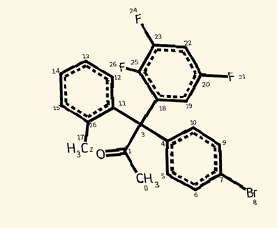 CC(=O)C(c1ccc(Br)cc1)(c1ccccc1C)c1cc(F)cc(F)c1F